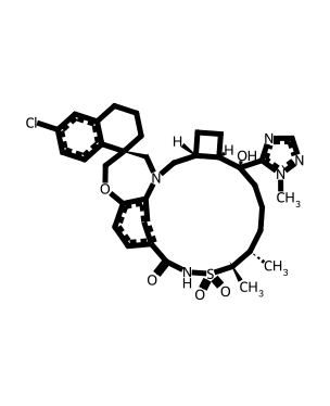 C[C@@H]1[C@@H](C)CCC[C@](O)(c2ncnn2C)[C@@H]2CC[C@H]2CN2C[C@@]3(CCCc4cc(Cl)ccc43)COc3ccc(cc32)C(=O)NS1(=O)=O